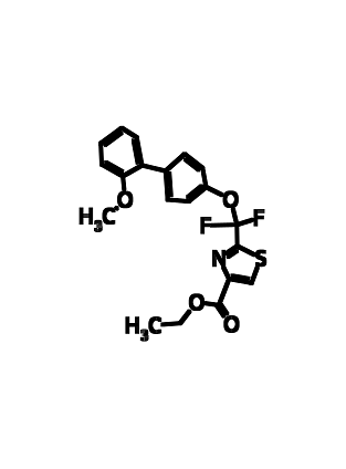 CCOC(=O)c1csc(C(F)(F)Oc2ccc(-c3ccccc3OC)cc2)n1